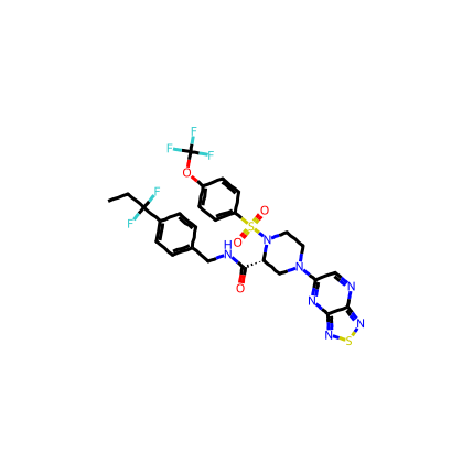 CCC(F)(F)c1ccc(CNC(=O)[C@H]2CN(c3cnc4nsnc4n3)CCN2S(=O)(=O)c2ccc(OC(F)(F)F)cc2)cc1